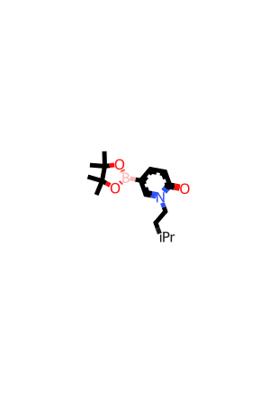 CC(C)CCn1cc(B2OC(C)(C)C(C)(C)O2)ccc1=O